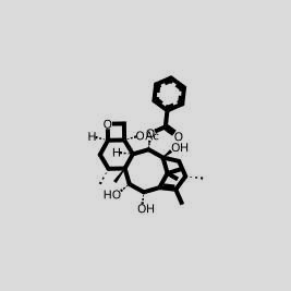 CC(=O)O[C@@]12CO[C@@H]1C[C@@H](C)[C@]1(C)[C@@H]2[C@H](OC(=O)c2ccccc2)[C@]2(O)C[C@H](C)C(C)=C([C@H](O)[C@@H]1O)C2(C)C